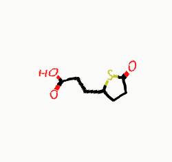 O=C(O)CCC1CCC(=O)S1